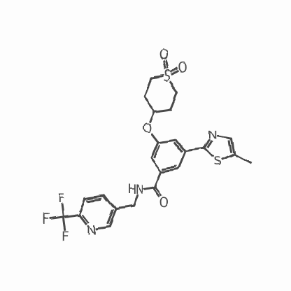 Cc1cnc(-c2cc(OC3CCS(=O)(=O)CC3)cc(C(=O)NCc3ccc(C(F)(F)F)nc3)c2)s1